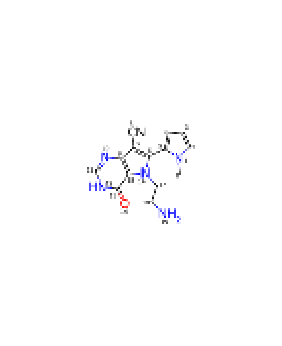 Cn1cccc1-c1c(C#N)c2nc[nH]c(=O)c2n1CCN